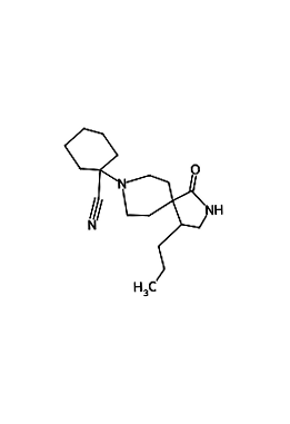 CCCC1CNC(=O)C12CCN(C1(C#N)CCCCC1)CC2